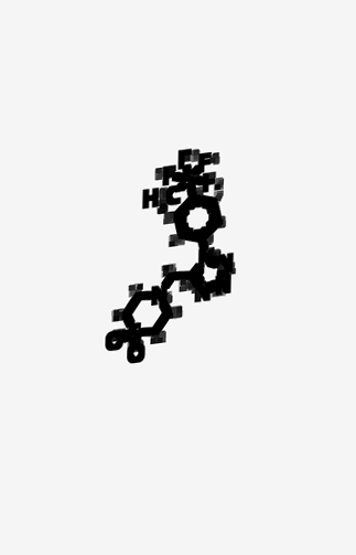 CS(F)(F)(F)(F)c1ccc(-n2nnnc2CN2CCS(=O)(=O)CC2)cc1